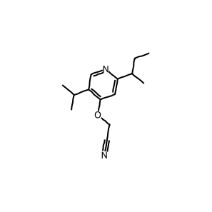 CCC(C)c1cc(OCC#N)c(C(C)C)cn1